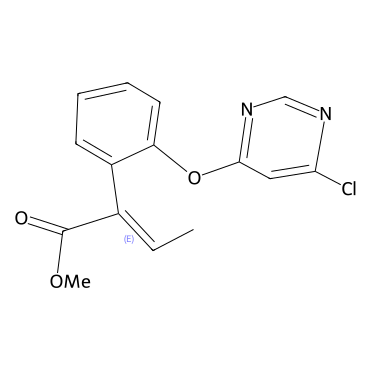 C/C=C(/C(=O)OC)c1ccccc1Oc1cc(Cl)ncn1